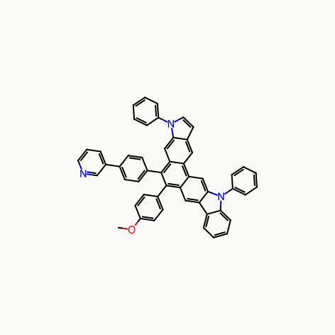 COc1ccc(-c2c(-c3ccc(-c4cccnc4)cc3)c3cc4c(ccn4-c4ccccc4)cc3c3cc4c(cc23)c2ccccc2n4-c2ccccc2)cc1